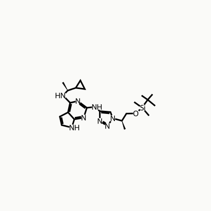 C[C@H](Nc1nc(Nc2cn([C@H](C)CO[Si](C)(C)C(C)(C)C)nn2)nc2[nH]ccc12)C1CC1